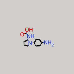 Nc1ccc(-n2cccc2NC(=O)O)cc1